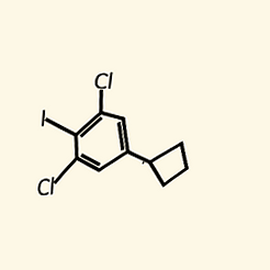 Clc1cc([C]2CCC2)cc(Cl)c1I